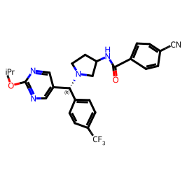 CC(C)Oc1ncc([C@@H](c2ccc(C(F)(F)F)cc2)N2CCC(NC(=O)c3ccc(C#N)cc3)C2)cn1